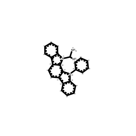 NC(N)n1c2ccccc2c2ccc3c4ccccc4n(-c4ccccc4)c3c21